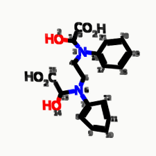 O=C(O)C(O)N(CCN(c1ccccc1)C(O)C(=O)O)c1ccccc1